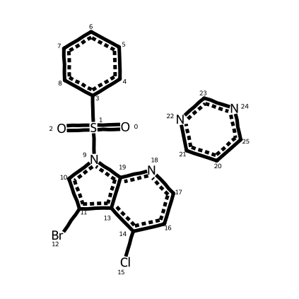 O=S(=O)(c1ccccc1)n1cc(Br)c2c(Cl)ccnc21.c1cncnc1